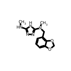 CNc1nnc(N(C)Cc2cccc3c2OCO3)[nH]1